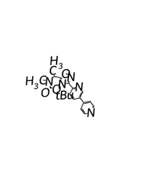 CC(c1nc(-c2ccc(-c3ccncc3)cn2)no1)N(C)C(=O)OC(C)(C)C